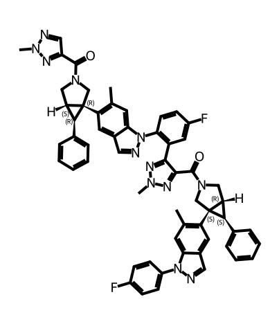 Cc1cc2c(cnn2-c2ccc(F)cc2)cc1[C@@]12CN(C(=O)c3nn(C)nc3-c3cc(F)ccc3-n3ncc4cc([C@]56CN(C(=O)c7cnn(C)n7)C[C@H]5[C@@H]6c5ccccc5)c(C)cc43)C[C@@H]1[C@H]2c1ccccc1